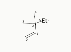 C=CC(C)(C)[CH]C